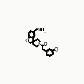 NCc1ccc2c(c1)C1(CCN(C(=O)Cc3cccc(Cl)c3)CC1)CO2